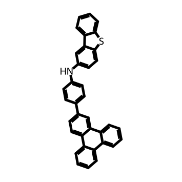 c1ccc2c(c1)sc1ccc(Nc3ccc(-c4ccc5c6ccccc6c6ccccc6c5c4)cc3)cc12